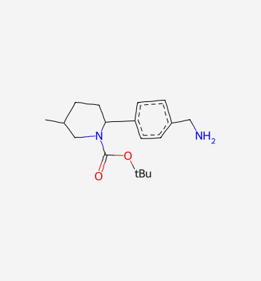 CC1CCC(c2ccc(CN)cc2)N(C(=O)OC(C)(C)C)C1